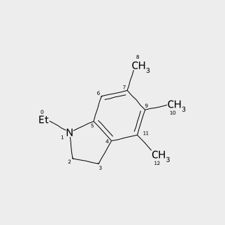 CCN1CCc2c1cc(C)c(C)c2C